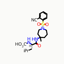 CC(C)C[C@H](NC(=O)O)C(=O)NC1(C)CCCN(S(=O)(=O)c2ccccc2C#N)CC1